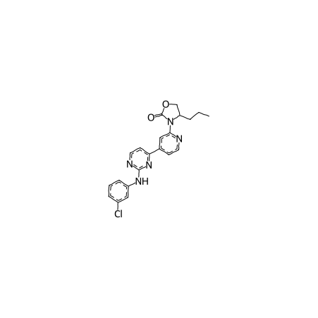 CCCC1COC(=O)N1c1cc(-c2ccnc(Nc3cccc(Cl)c3)n2)ccn1